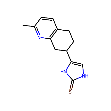 Cc1ccc2c(n1)CC(c1c[nH]c(=S)[nH]1)CC2